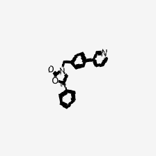 O=C1O[C@H](c2ccccc2)CN1Cc1ccc(-c2cccnc2)cc1